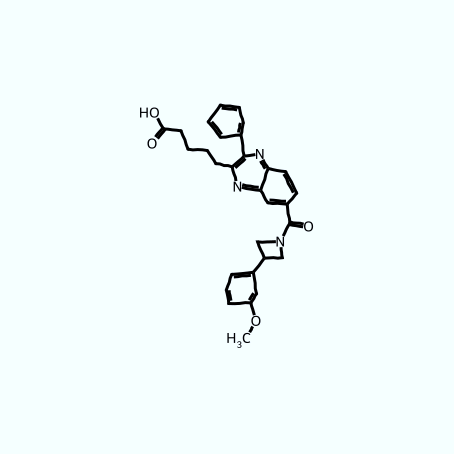 COc1cccc(C2CN(C(=O)c3ccc4nc(-c5ccccc5)c(CCCCC(=O)O)nc4c3)C2)c1